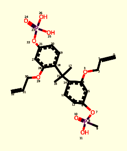 C=CCOc1cc(OP(C)(=O)O)ccc1C(C)(C)c1ccc(OP(=O)(O)O)cc1OCC=C